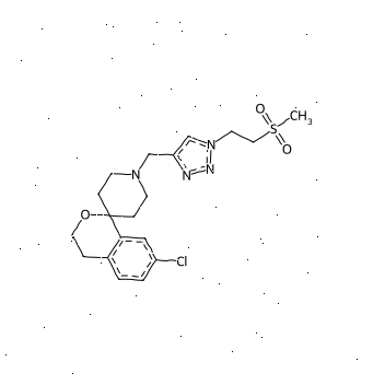 CS(=O)(=O)CCn1cc(CN2CCC3(CC2)OCCc2ccc(Cl)cc23)nn1